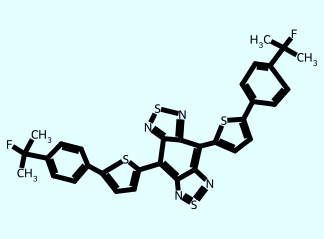 CC(C)(F)c1ccc(-c2ccc(-c3c4c(c(-c5ccc(-c6ccc(C(C)(C)F)cc6)s5)c5nsnc35)N=S=N4)s2)cc1